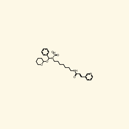 O=C(C=Cc1cccnc1)NCCCCCCCN(C(OC1CCCCO1)c1ccccc1)[SH](=O)=O